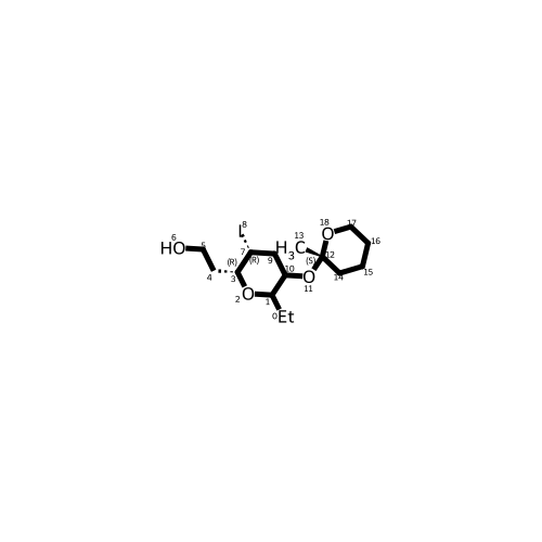 CCC1O[C@H](CCO)[C@H](I)CC1O[C@@]1(C)CCCCO1